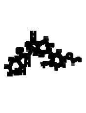 CCOc1ccc(F)c(-c2ccc3[nH]nc(NC(=O)[C@@H]4CCCNC4)c3c2)c1